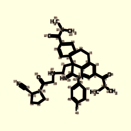 CN(C)C(=O)c1ccc2c(c1)CCc1cc(C(=O)N(C)C)ccc1C2(CCNCC(=O)N1CCC[C@H]1C#N)C(=N)Nc1ccc(F)cc1